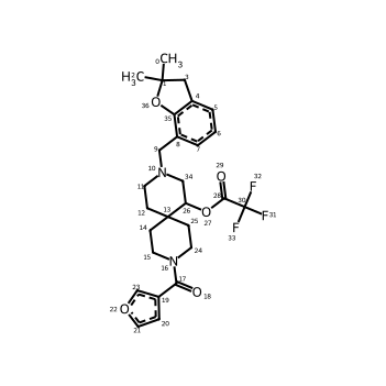 CC1(C)Cc2cccc(CN3CCC4(CCN(C(=O)c5ccoc5)CC4)C(OC(=O)C(F)(F)F)C3)c2O1